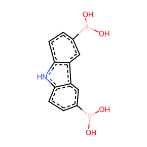 OB(O)c1ccc2[nH]c3ccc(B(O)O)cc3c2c1